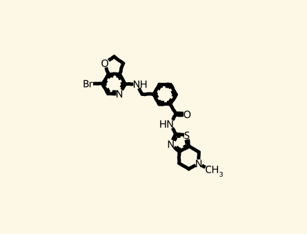 CN1CCc2nc(NC(=O)c3cccc(CNc4ncc(Br)c5c4CCO5)c3)sc2C1